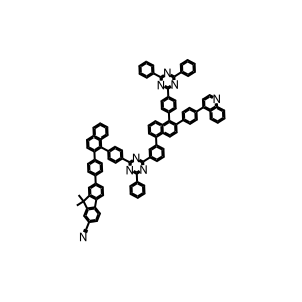 CC1(C)c2cc(C#N)ccc2-c2ccc(-c3ccc(-c4ccc5ccccc5c4-c4ccc(-c5nc(-c6ccccc6)nc(-c6cccc(-c7cccc8c(-c9ccc(-c%10nc(-c%11ccccc%11)nc(-c%11ccccc%11)n%10)cc9)c(-c9ccc(-c%10ccnc%11ccccc%10%11)cc9)ccc78)c6)n5)cc4)cc3)cc21